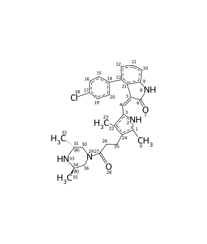 Cc1[nH]c(C=C2C(=O)Nc3cccc(-c4ccc(Cl)cc4)c32)c(C)c1CCC(=O)N1C[C@@H](C)N[C@H](C)C1